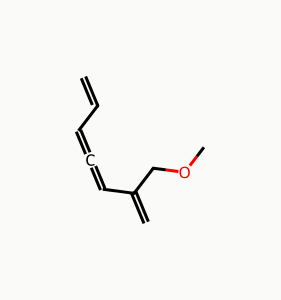 C=CC=C=CC(=C)COC